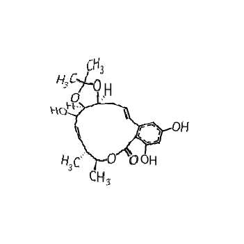 C[C@@H]1/C=C\C(O)[C@H]2OC(C)(C)O[C@H]2C/C=C/c2cc(O)cc(O)c2C(=O)O[C@H]1C